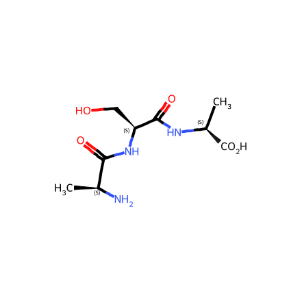 C[C@H](N)C(=O)N[C@@H](CO)C(=O)N[C@@H](C)C(=O)O